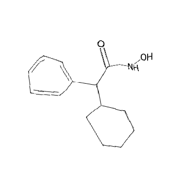 O=C(NO)C(c1ccccc1)C1CCCCC1